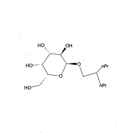 CCCC(CCC)CO[C@H]1O[C@H](CO)[C@H](O)[C@H](O)[C@H]1O